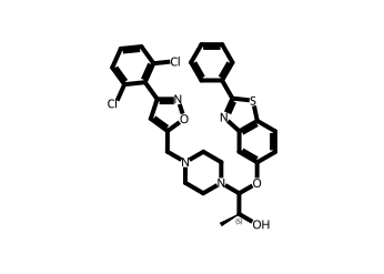 C[C@H](O)C(Oc1ccc2sc(-c3ccccc3)nc2c1)N1CCN(Cc2cc(-c3c(Cl)cccc3Cl)no2)CC1